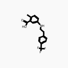 Cc1ccc(NCCc2ccc(C(F)(F)F)cc2)cc1C(=O)O